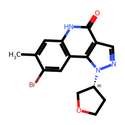 Cc1cc2[nH]c(=O)c3cnn([C@@H]4CCOC4)c3c2cc1Br